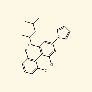 CC(C)CC(C)Nc1cc(-n2cccn2)nc(Cl)c1-c1c(F)cccc1Cl